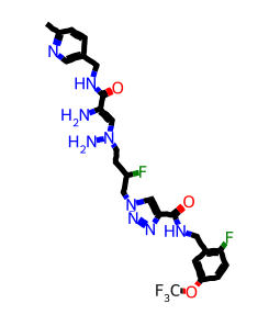 Cc1ccc(CNC(=O)/C(N)=C/N(N)CCC(F)Cn2cc(C(=O)NCc3cc(OC(F)(F)F)ccc3F)nn2)cn1